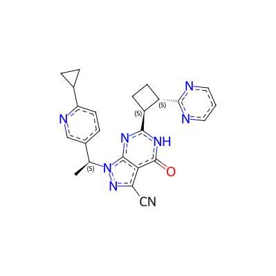 C[C@@H](c1ccc(C2CC2)nc1)n1nc(C#N)c2c(=O)[nH]c([C@H]3CC[C@@H]3c3ncccn3)nc21